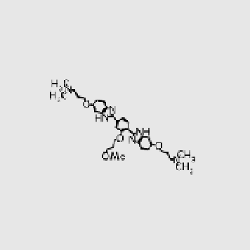 COCCCOc1cc(-c2nc3ccc(OCCCN(C)C)cc3[nH]2)ccc1-c1nc2ccc(OCCCN(C)C)cc2[nH]1